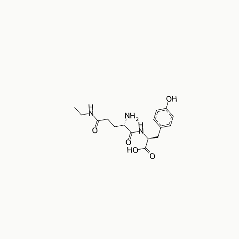 CCNC(=O)CC[C@H](N)C(=O)N[C@@H](Cc1ccc(O)cc1)C(=O)O